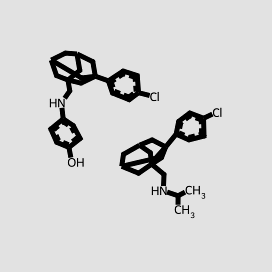 CC(C)NCC12CC3CC(C1)CC(c1ccc(Cl)cc1)(C3)C2.Oc1ccc(NCC23CC4CC(C2)CC(c2ccc(Cl)cc2)(C4)C3)cc1